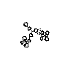 c1ccc(-c2ccc(N(c3ccc(-c4ccc5c(c4)C(c4ccccc4)(c4ccccc4)c4ccccc4-5)cc3)c3ccc4c(c3)Oc3c(ccc5c3-c3ccccc3C53c5ccccc5-c5ccccc53)O4)cc2)cc1